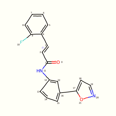 O=C(/C=C/c1ccccc1F)Nc1cccc(-c2ccno2)c1